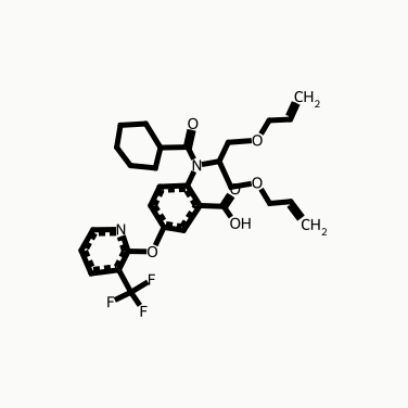 C=CCOCC(COCC=C)N(C(=O)C1CCCCC1)c1ccc(Oc2ncccc2C(F)(F)F)cc1C(=O)O